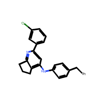 CC(C)Cc1ccc(Nc2cc(-c3cccc(Cl)c3)nc3c2CCC3)cc1